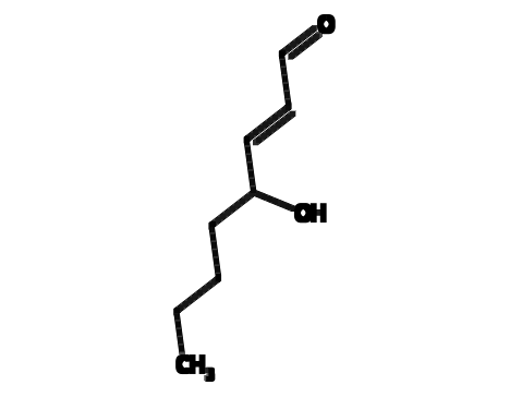 CCCCC(O)C=CC=O